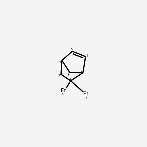 CCC1(CC)CC2C=CC1C2